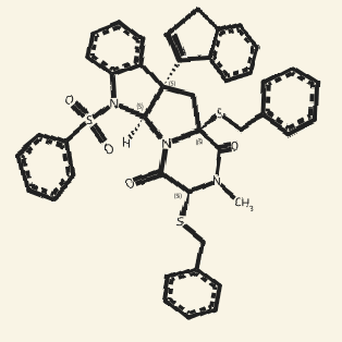 CN1C(=O)[C@@]2(SCc3ccccc3)C[C@]3(C4=CCc5ccccc54)c4ccccc4N(S(=O)(=O)c4ccccc4)[C@@H]3N2C(=O)[C@@H]1SCc1ccccc1